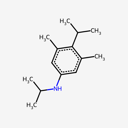 Cc1cc(NC(C)C)cc(C)c1C(C)C